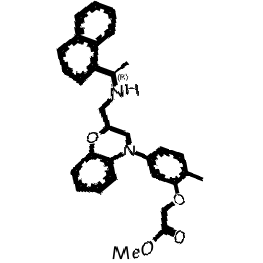 COC(=O)COc1cc(N2CC(CN[C@H](C)c3cccc4ccccc34)Oc3ccccc32)ccc1C